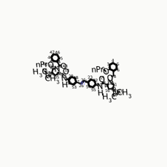 CCCOc1ccccc1CON1C[C@@H](N(C)C)C[C@H]1C(=O)Nc1ccc(/C=C/c2ccc(NC(=O)[C@@H]3C[C@H](N(C)C)CN3C(=O)c3ccccc3OCCC)cc2)cc1